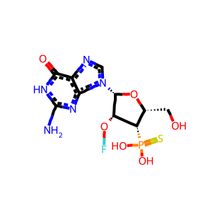 Nc1nc2c(ncn2[C@@H]2O[C@H](CO)[C@H](P(O)(O)=S)[C@@H]2OF)c(=O)[nH]1